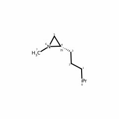 CC(C)CCC[C@H]1CN1C